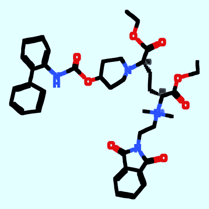 CCOC(=O)[C@@H](CC[C@@H](C(=O)OCC)N1CCC(OC(=O)Nc2ccccc2-c2ccccc2)CC1)[N+](C)(C)CCN1C(=O)c2ccccc2C1=O